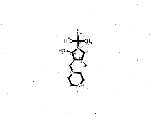 C[C@@H]1[C@H](CN2CCNCC2)[C@@H](F)CN1C(C)(C)C